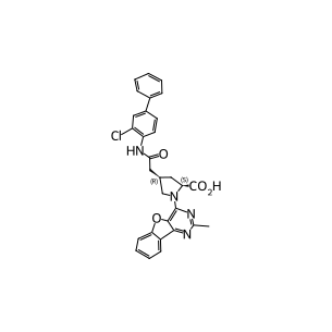 Cc1nc(N2C[C@@H](CC(=O)Nc3ccc(-c4ccccc4)cc3Cl)C[C@H]2C(=O)O)c2oc3ccccc3c2n1